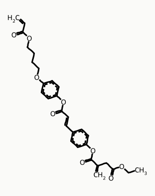 C=CC(=O)OCCCCOc1ccc(OC(=O)/C=C/c2ccc(OC(=O)C(=C)CC(=O)OCC)cc2)cc1